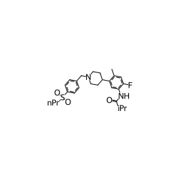 CCCS(=O)(=O)c1ccc(CN2CCC(c3cc(NC(=O)C(C)C)c(F)cc3C)CC2)cc1